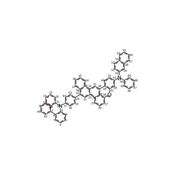 c1ccc(-c2ccccc2N(c2ccccc2)c2ccc(-c3cc4c5cccc6c5c(cc4c4ccccc34)-c3ccc(N(c4ccccc4)c4ccc5ccccc5c4)cc3O6)cc2)cc1